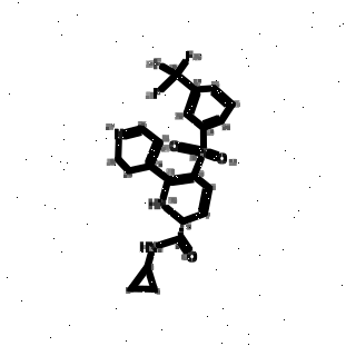 O=C(NC1CC1)[C@H]1C=CC(S(=O)(=O)c2cccc(C(F)(F)F)c2)=C(C2=CC=NCC2)N1